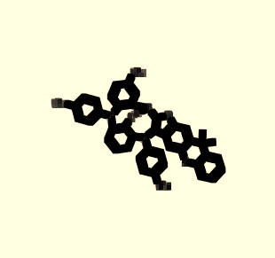 CC(C)(C)c1ccc(N2C3=C4CCB(c5cc(C(C)(C)C)ccc52)c2oc5cc6c(cc5c2N(c2ccc(C(C)(C)C)cc2)C4CC=C3)Sc2ccccc2C6(C)C)cc1